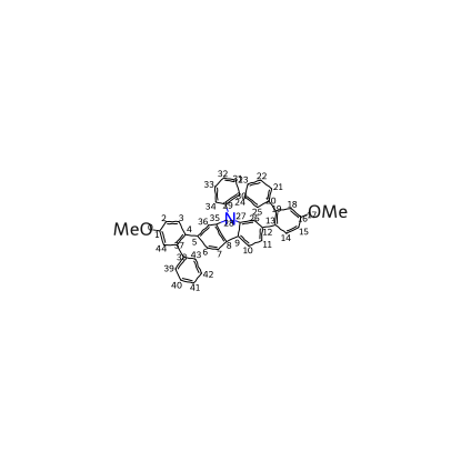 COc1ccc(-c2ccc3c4ccc(-c5ccc(OC)cc5-c5ccccc5)cc4n(-c4ccccc4)c3c2)c(-c2ccccc2)c1